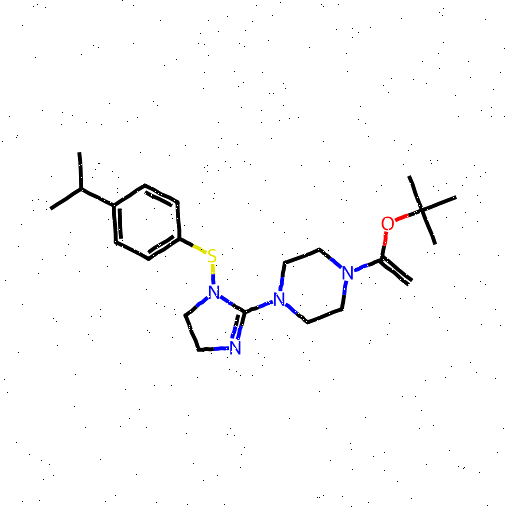 C=C(OC(C)(C)C)N1CCN(C2=NCCN2Sc2ccc(C(C)C)cc2)CC1